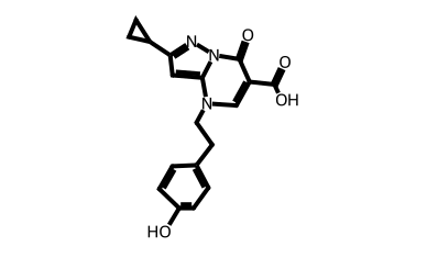 O=C(O)c1cn(CCc2ccc(O)cc2)c2cc(C3CC3)nn2c1=O